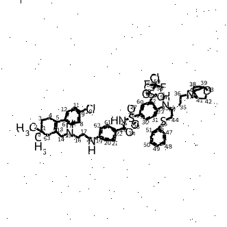 CC1(C)CCC(c2ccc(Cl)cc2)=C(CNCCNc2ccc(C(=O)NS(=O)(=O)c3ccc(N[C@H](CCN4CC5CC4CO5)CSc4ccccc4)c(S(=O)(=O)C(F)(F)Cl)c3)cc2)C1